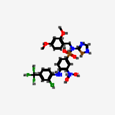 COc1ccc(CN(c2ncns2)S(=O)(=O)c2ccc(Nc3ccc(C(F)(F)F)cc3Cl)c([N+](=O)[O-])c2)c(OC)c1